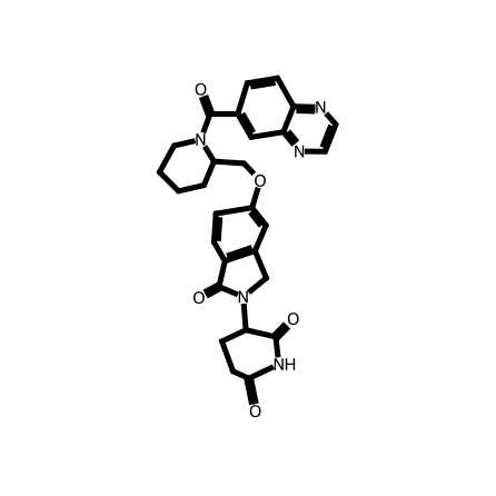 O=C1CCC(N2Cc3cc(OCC4CCCCN4C(=O)c4ccc5nccnc5c4)ccc3C2=O)C(=O)N1